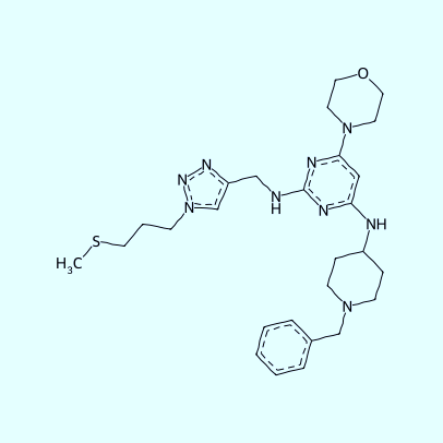 CSCCCn1cc(CNc2nc(NC3CCN(Cc4ccccc4)CC3)cc(N3CCOCC3)n2)nn1